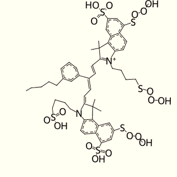 CCCCCc1cccc(C(=C\C=C2\N(CCCCS(=O)(=O)O)c3ccc4c(S(=O)(=O)O)cc(SOOO)cc4c3C2(C)C)/C=C/C2=[N+](CCCCSOOO)c3ccc4c(SOOO)cc(S(=O)(=O)O)cc4c3C2(C)C)c1